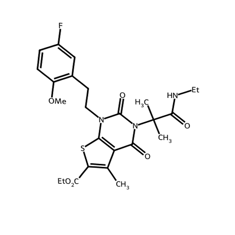 CCNC(=O)C(C)(C)n1c(=O)c2c(C)c(C(=O)OCC)sc2n(CCc2cc(F)ccc2OC)c1=O